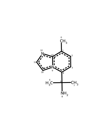 Cc1ccc(C(C)(C)N)n2ccnc12